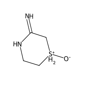 N=C1C[SH2+]([O-])CCN1